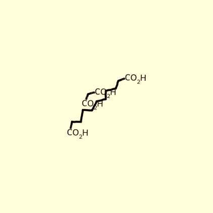 O=C(O)CC(=O)O.O=C(O)CCCCCCCCCC(=O)O